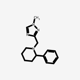 Cn1cnc(CN2CCCCC2c2ccccc2)n1